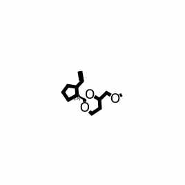 C=CC1CCC[C@@H]1C1OCCC(COC)O1